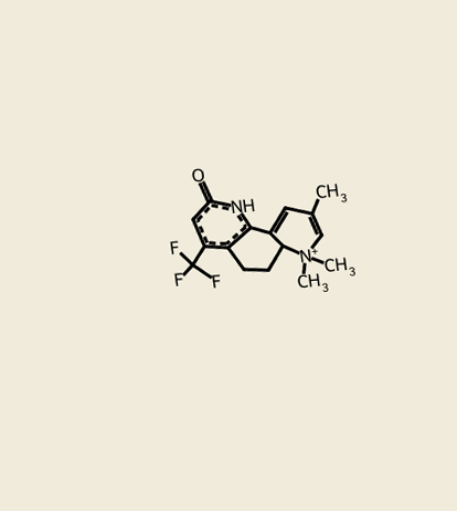 CC1=C[N+](C)(C)C2CCc3c(C(F)(F)F)cc(=O)[nH]c3C2=C1